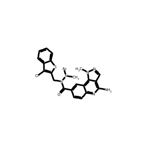 CC(=O)N(C)N(Cc1sc2ccccc2c1Cl)C(=O)c1ccc2nc(N)c3cnn(C)c3c2c1